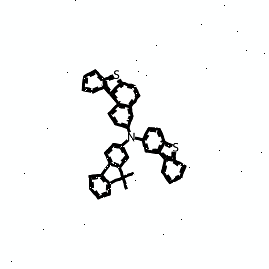 CC1(C)c2ccccc2-c2ccc(N(c3ccc4c(ccc5sc6ccccc6c54)c3)c3ccc4sc5ccccc5c4c3)cc21